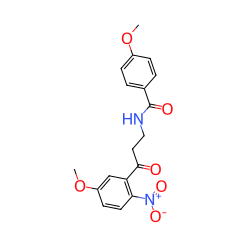 COc1ccc(C(=O)NCCC(=O)c2cc(OC)ccc2[N+](=O)[O-])cc1